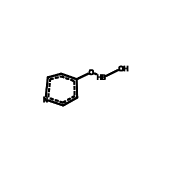 OBOc1ccncc1